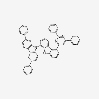 C1=CC(c2ccccc2)Cc2c1n(-c1cccc3c1oc1cccc(-c4cc(-c5ccccc5)nc(-c5ccccc5)n4)c13)c1cc(-c3ccccc3)ccc21